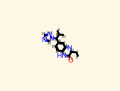 CCc1nc2cc(C(C(C)C)n3cncn3)ccc2[nH]c1=O